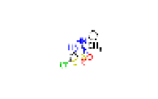 CC1(NC2=NS(=O)(=O)c3sc(Cl)cc3N2)CCCC1